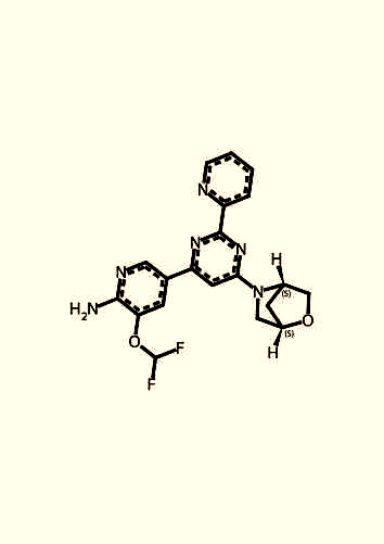 Nc1ncc(-c2cc(N3C[C@@H]4C[C@H]3CO4)nc(-c3ccccn3)n2)cc1OC(F)F